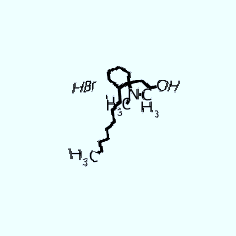 Br.CCCCCCCCC1CCCCC1(CCO)N(C)C